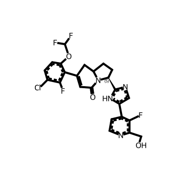 O=C1C=C(c2c(OC(F)F)ccc(Cl)c2F)CC2CC[C@@H](c3ncc(-c4ccnc(CO)c4F)[nH]3)N12